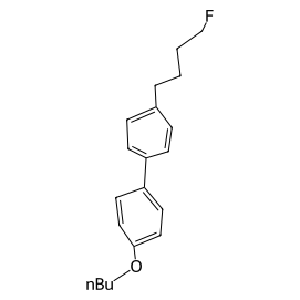 CCCCOc1ccc(-c2ccc(CCCCF)cc2)cc1